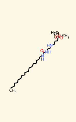 CCCCCCCCCCCCCCCCCCNC(=O)NCCNCCC[Si](OC)(OC)OC